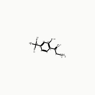 NCC(=O)c1ccc(C(F)(F)F)cc1F